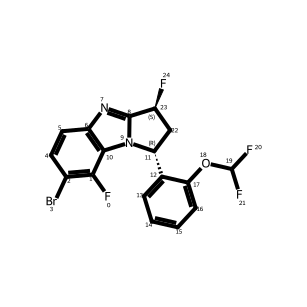 Fc1c(Br)ccc2nc3n(c12)[C@@H](c1ccccc1OC(F)F)C[C@@H]3F